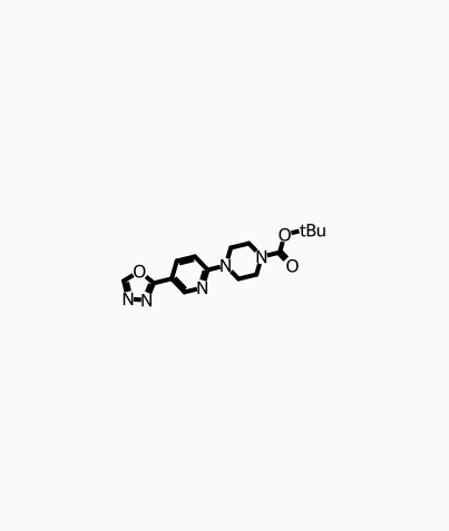 CC(C)(C)OC(=O)N1CCN(c2ccc(-c3nnco3)cn2)CC1